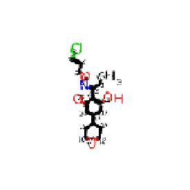 CCC(=NOCC=CCl)C1=C(O)CC(C2CCOCC2)CC1=O